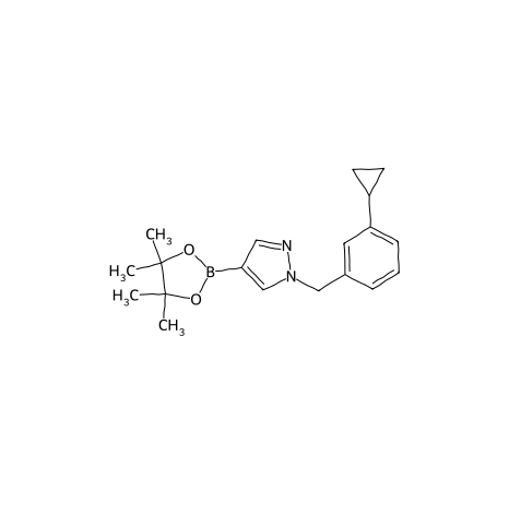 CC1(C)OB(c2cnn(Cc3cccc(C4CC4)c3)c2)OC1(C)C